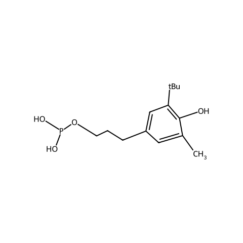 Cc1cc(CCCOP(O)O)cc(C(C)(C)C)c1O